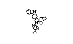 COc1cnc(N2CC3(CCC(c4ccccc4)(N(C)C)CC3)N(CC3CCC3)C2=O)cn1